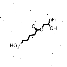 CCCC(O)COC(=O)CCCCC(=O)O